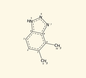 Cc1ccc2[nH]nnc2c1C